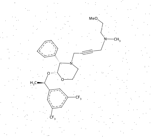 COCCN(C)CC#CCN1CCO[C@H](O[C@H](C)c2cc(C(F)(F)F)cc(C(F)(F)F)c2)[C@@H]1c1ccccc1